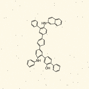 Oc1cc(-c2cc(-c3ccc(-c4ccc(Nc5ccc6ccccc6c5)c(-c5ccccc5)c4)cc3)ccc2Nc2ccccc2)ccc1-c1ccccc1